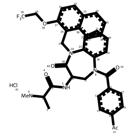 CNC(C)C(=O)NC1CN(C(=O)c2ccc(C(C)=O)cc2)c2ccccc2N(Cc2c(OCC(F)(F)F)ccc3ccccc23)C1=O.Cl